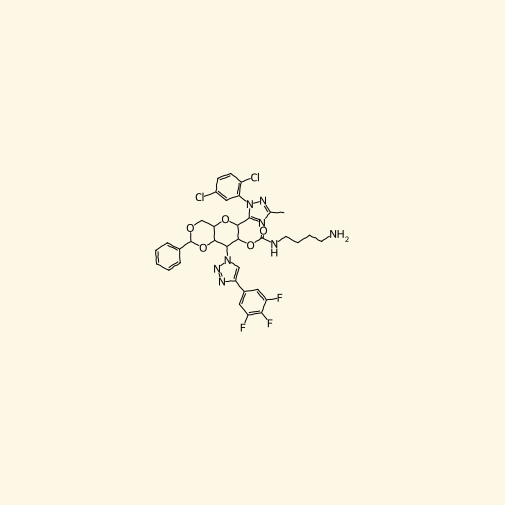 Cc1nc(C2OC3COC(c4ccccc4)OC3C(n3cc(-c4cc(F)c(F)c(F)c4)nn3)C2OC(=O)NCCCCN)n(-c2cc(Cl)ccc2Cl)n1